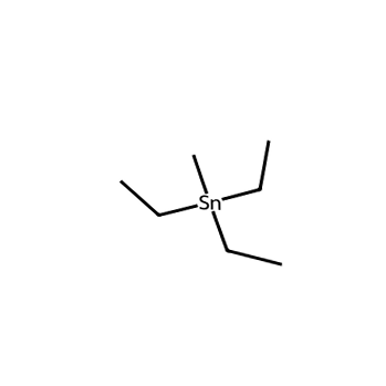 C[CH2][Sn]([CH3])([CH2]C)[CH2]C